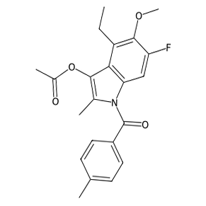 CCc1c(OC)c(F)cc2c1c(OC(C)=O)c(C)n2C(=O)c1ccc(C)cc1